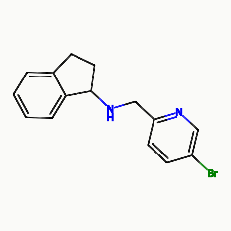 Brc1ccc(CNC2CCc3ccccc32)nc1